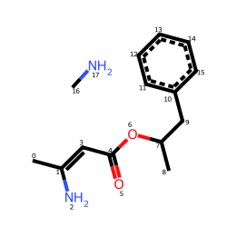 CC(N)=CC(=O)OC(C)Cc1ccccc1.CN